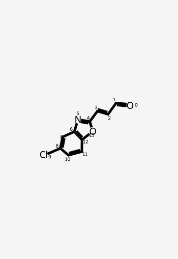 O=C/C=C/c1nc2cc(Cl)ccc2o1